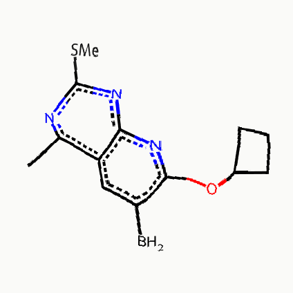 Bc1cc2c(C)nc(SC)nc2nc1OC1CCC1